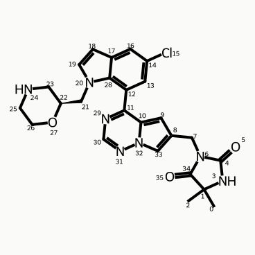 CC1(C)NC(=O)N(Cc2cc3c(-c4cc(Cl)cc5ccn(C[C@@H]6CNCCO6)c45)ncnn3c2)C1=O